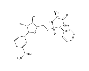 COC(=O)[C@H](C)NP(=O)(OCC1OC(N2C=CCC(C(N)=O)=C2)C(O)C1O)Oc1ccccc1